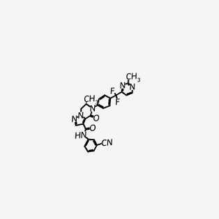 Cc1nccc(C(F)(F)c2ccc(N3C(=O)c4c(C(=O)Nc5cccc(C#N)c5)cnn4C[C@@H]3C)cc2)n1